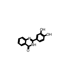 O=c1[nH]c(-c2ccc(O)c(O)c2)nc2ccccc12